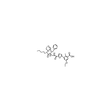 CCCCCC(C(=O)NCNC(=O)c1ccc(-c2cc(OCC)cc(C(=O)O)c2C)o1)[C@@H](CC)N(C=O)OCc1ccccc1